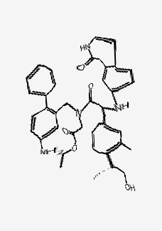 CCOC(=O)CN(Cc1cc(N)ccc1-c1ccccc1)C(=O)C(Nc1ccc2cc[nH]c(=O)c2c1)c1ccc([C@@H](C)CO)c(C)c1